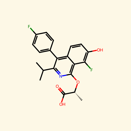 CC(C)c1nc(O[C@H](C)C(=O)O)c2c(F)c(O)ccc2c1-c1ccc(F)cc1